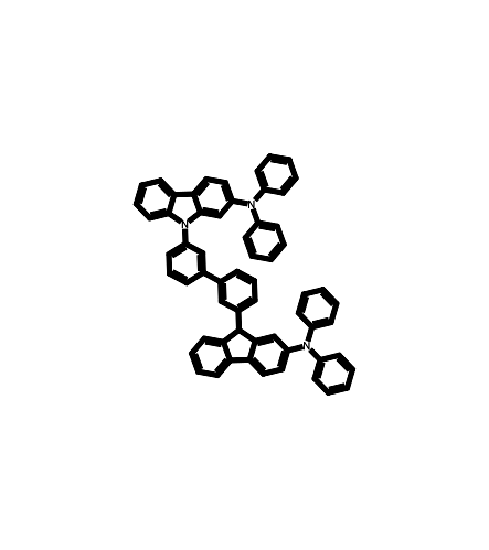 c1ccc(N(c2ccccc2)c2ccc3c(c2)C(c2cccc(-c4cccc(-n5c6ccccc6c6ccc(N(c7ccccc7)c7ccccc7)cc65)c4)c2)c2ccccc2-3)cc1